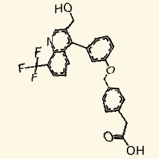 O=C(O)Cc1ccc(COc2cccc(-c3c(CO)cnc4c(C(F)(F)F)cccc34)c2)cc1